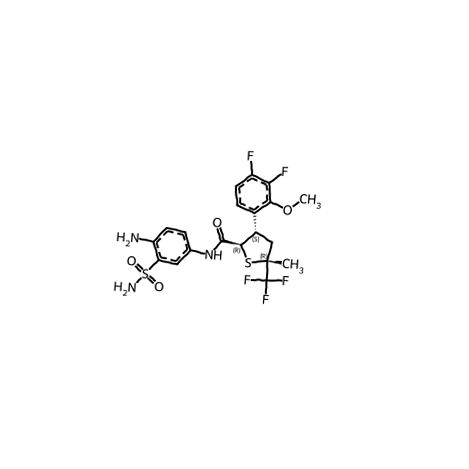 COc1c([C@@H]2C[C@](C)(C(F)(F)F)S[C@H]2C(=O)Nc2ccc(N)c(S(N)(=O)=O)c2)ccc(F)c1F